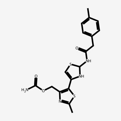 Cc1ccc(CC(=O)NC2NC(c3sc(C)nc3COC(N)=O)=CS2)cc1